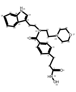 O=C(CCc1ccc(C(=O)N(CCc2c[nH]c3ccccc23)CCN2CCOCC2)cc1)NO